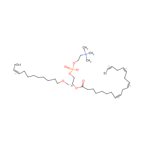 CC/C=C\C/C=C\C/C=C\C/C=C\CCCCCCC(=O)O[C@H](COCCCCCCCC/C=C\CCCCCCCC)COP(=O)([O-])OCC[N+](C)(C)C